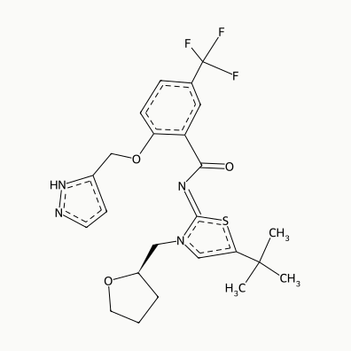 CC(C)(C)c1cn(C[C@H]2CCCO2)/c(=N/C(=O)c2cc(C(F)(F)F)ccc2OCc2ccn[nH]2)s1